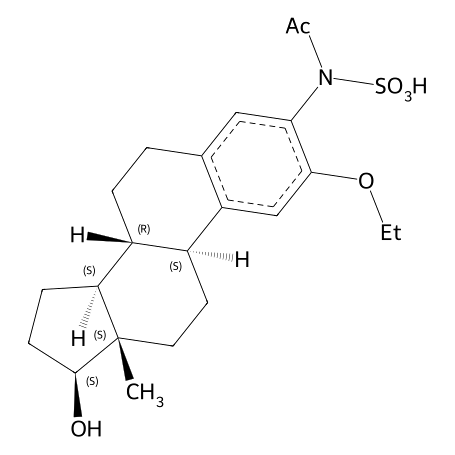 CCOc1cc2c(cc1N(C(C)=O)S(=O)(=O)O)CC[C@@H]1[C@@H]2CC[C@]2(C)[C@@H](O)CC[C@@H]12